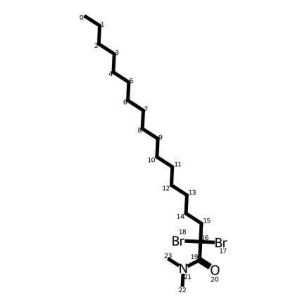 CCCCCCCCCCCCCCCCC(Br)(Br)C(=O)N(C)C